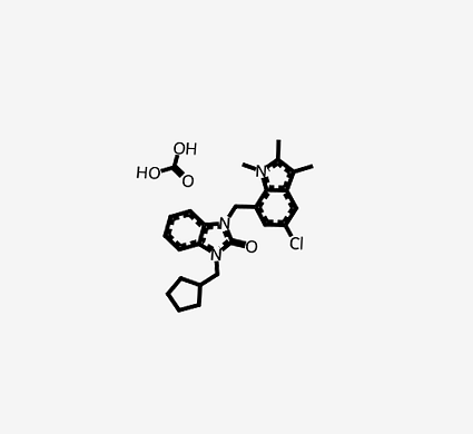 Cc1c(C)n(C)c2c(Cn3c(=O)n(CC4CCCC4)c4ccccc43)cc(Cl)cc12.O=C(O)O